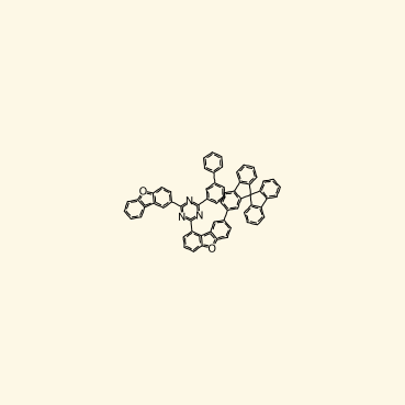 c1ccc(-c2cccc(-c3nc(-c4ccc5oc6ccccc6c5c4)nc(-c4cccc5oc6ccc(-c7ccc8c(c7)C7(c9ccccc9-c9ccccc97)c7ccccc7-8)cc6c45)n3)c2)cc1